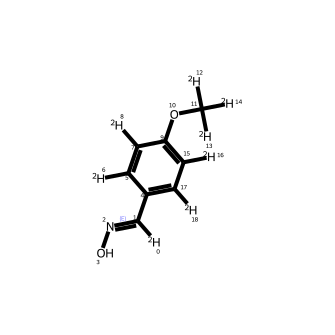 [2H]/C(=N\O)c1c([2H])c([2H])c(OC([2H])([2H])[2H])c([2H])c1[2H]